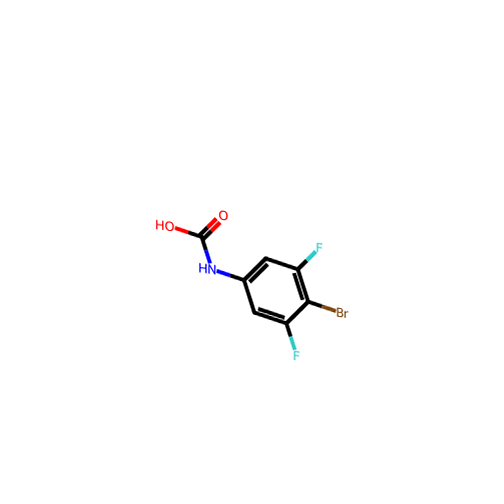 O=C(O)Nc1cc(F)c(Br)c(F)c1